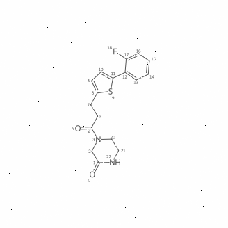 O=C1CN(C(=O)CCc2ccc(-c3ccccc3F)s2)CCN1